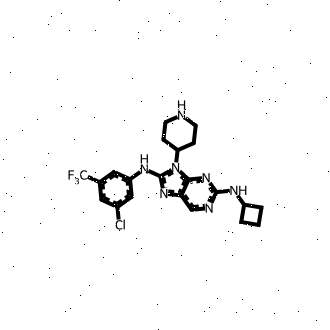 FC(F)(F)c1cc(Cl)cc(Nc2nc3cnc(NC4CCC4)nc3n2C2CCNCC2)c1